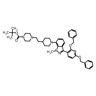 Cn1nc(-c2ccc(OCc3ccccc3)nc2OCc2ccccc2)c2cccc(N3CCC(CCN4CCN(C(=O)OC(C)(C)C)CC4)CC3)c21